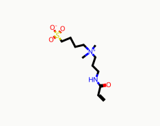 C=CC(=O)NCCC[N+](C)(C)CCCCS(=O)(=O)[O-]